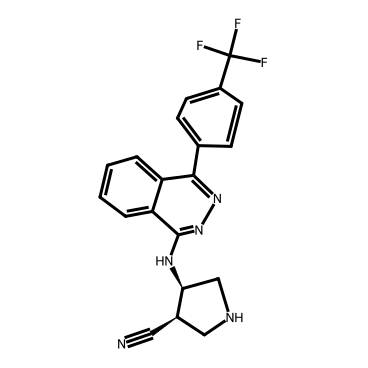 N#C[C@@H]1CNC[C@@H]1Nc1nnc(-c2ccc(C(F)(F)F)cc2)c2ccccc12